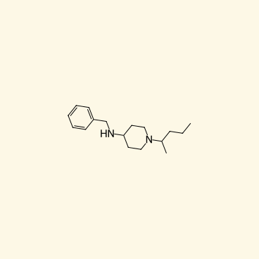 CCCC(C)N1CCC(NCc2ccccc2)CC1